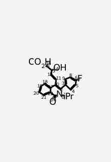 CC(C)n1c(-c2ccc(F)cc2)c(C=CC(O)CC(=O)O)c2ccccc2c1=O